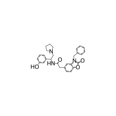 O=C(Cc1ccc2oc(=O)n(Cc3ccccc3)c2c1)NC(CN1CCCC1)c1cccc(O)c1